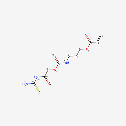 C=CC(=O)OCCCNC(=O)OCC(=O)NC(N)=S